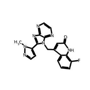 Cn1nccc1-c1nc2nccnc2n1Cc1cc(=O)[nH]c2c(F)cccc12